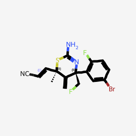 C=C1[C@@](C)(/C=C/C#N)SC(N)=N[C@]1(CF)c1cc(Br)ccc1F